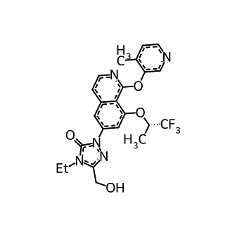 CCn1c(CO)nn(-c2cc(O[C@@H](C)C(F)(F)F)c3c(Oc4cnccc4C)nccc3c2)c1=O